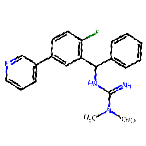 CN(C=O)C(=N)NC(c1ccccc1)c1cc(-c2cccnc2)ccc1F